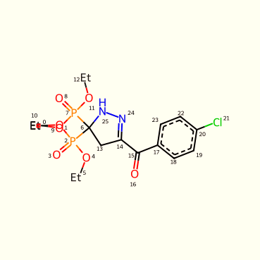 CCOP(=O)(OCC)C1(P(=O)(OCC)OCC)CC(C(=O)c2ccc(Cl)cc2)=NN1